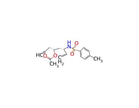 C#CC[C@H](C[C@@H](C=C)NS(=O)(=O)c1ccc(C)cc1)OC(C)=O